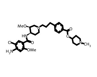 COc1cc(N)c(Cl)cc1C(=O)N[C@@H]1CCN(CCCc2ccc(C(=O)OC3CCN(C)CC3)cc2)C[C@@H]1OC